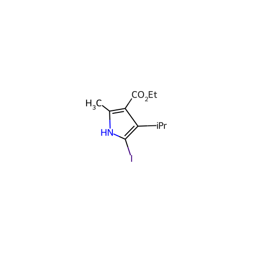 CCOC(=O)c1c(C)[nH]c(I)c1C(C)C